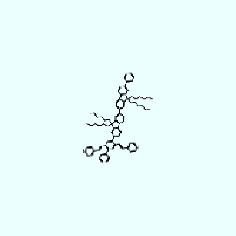 CCCCCCC1(CCCCCC)c2cc(-c3ccccc3)ccc2-c2ccc(-c3ccc4c(c3)C(CCCCCC)(CCCCCC)c3cc(-c5cc(/C=C/c6ccncc6)c(-c6ccccc6)cc5/C=C/c5ccncc5)ccc3-4)cc21